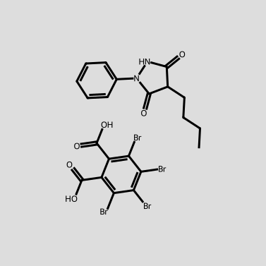 CCCCC1C(=O)NN(c2ccccc2)C1=O.O=C(O)c1c(Br)c(Br)c(Br)c(Br)c1C(=O)O